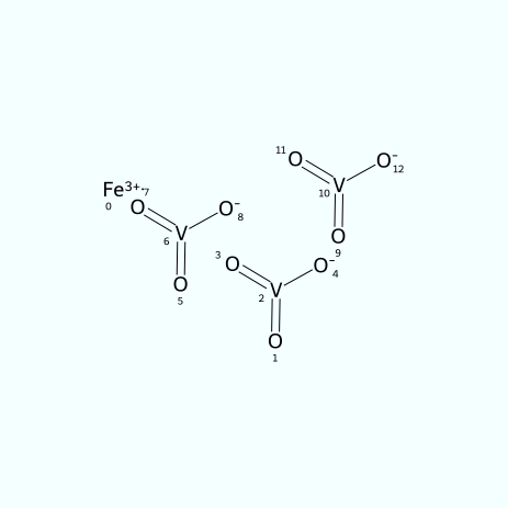 [Fe+3].[O]=[V](=[O])[O-].[O]=[V](=[O])[O-].[O]=[V](=[O])[O-]